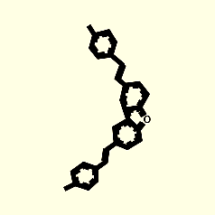 Cc1ccc(/C=C/c2ccc3oc4ccc(/C=C/c5ccc(C)cc5)cc4c3c2)cc1